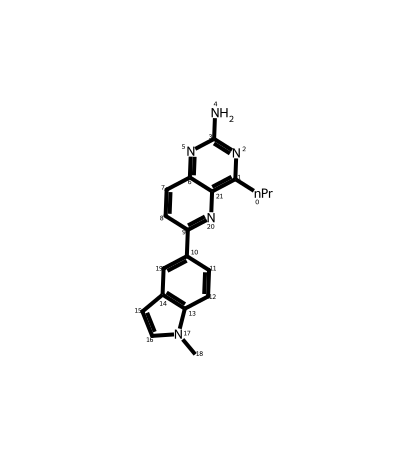 CCCc1nc(N)nc2ccc(-c3ccc4c(ccn4C)c3)nc12